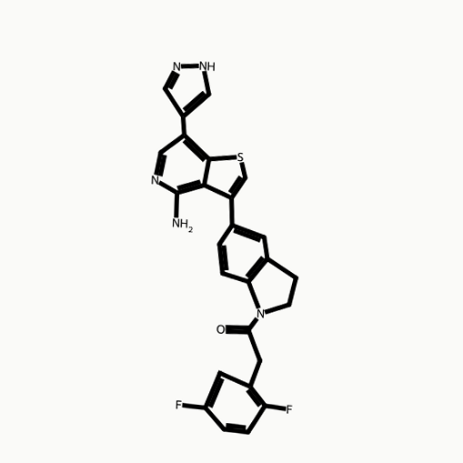 Nc1ncc(-c2cn[nH]c2)c2scc(-c3ccc4c(c3)CCN4C(=O)Cc3cc(F)ccc3F)c12